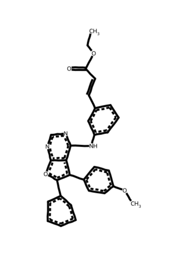 CCOC(=O)C=Cc1cccc(Nc2ncnc3oc(-c4ccccc4)c(-c4ccc(OC)cc4)c23)c1